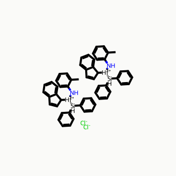 Cc1ccccc1[NH][Hf+]([CH]1C=Cc2ccccc21)[SiH](c1ccccc1)c1ccccc1.Cc1ccccc1[NH][Hf+]([CH]1C=Cc2ccccc21)[SiH](c1ccccc1)c1ccccc1.[Cl-].[Cl-]